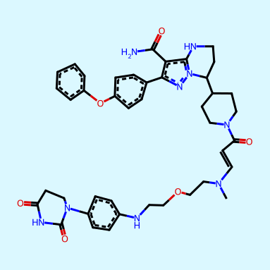 CN(/C=C/C(=O)N1CCC(C2CCNc3c(C(N)=O)c(-c4ccc(Oc5ccccc5)cc4)nn32)CC1)CCOCCNc1ccc(N2CCC(=O)NC2=O)cc1